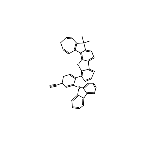 CC1(C)C2=C(C=CCC=C2)c2c1ccc1c2sc2c(C3=CCC(C#N)C=C3n3c4ccccc4c4ccccc43)cccc21